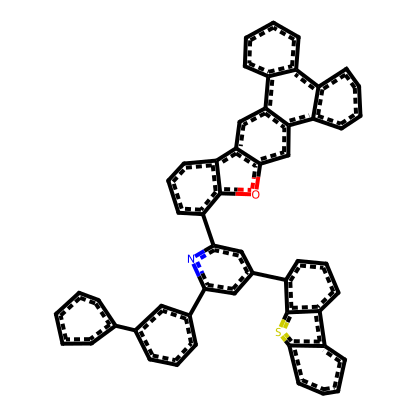 c1ccc(-c2cccc(-c3cc(-c4cccc5c4sc4ccccc45)cc(-c4cccc5c4oc4cc6c7ccccc7c7ccccc7c6cc45)n3)c2)cc1